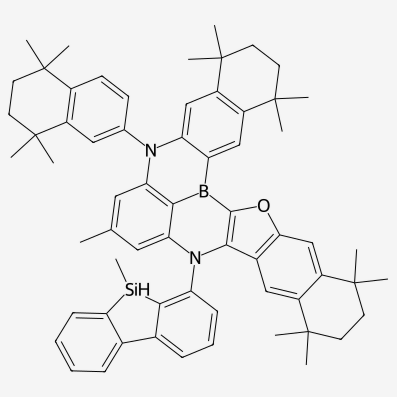 Cc1cc2c3c(c1)N(c1cccc4c1[SiH](C)c1ccccc1-4)c1c(oc4cc5c(cc14)C(C)(C)CCC5(C)C)B3c1cc3c(cc1N2c1ccc2c(c1)C(C)(C)CCC2(C)C)C(C)(C)CCC3(C)C